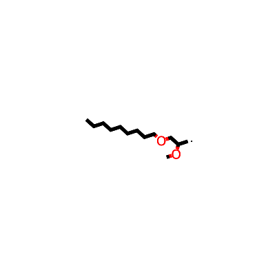 [CH2]C(COCCCCCCCCC)OC